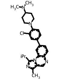 Cc1nc(C(C)C)n2c1cnc1ccc(-c3ccc(N4CCC(N(C)C)CC4)c(Cl)c3)cc12